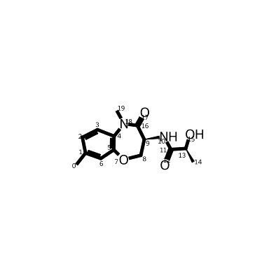 Cc1ccc2c(c1)OC[C@H](NC(=O)[C@H](C)O)C(=O)N2C